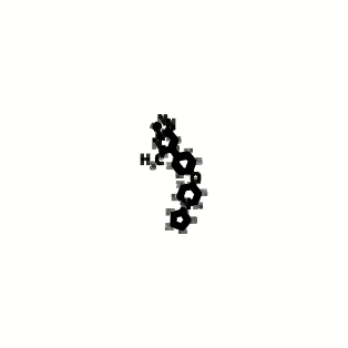 Cc1nn2cnnc2cc1-c1ccc(OC2CCN(C3CCCC3)CC2)cc1